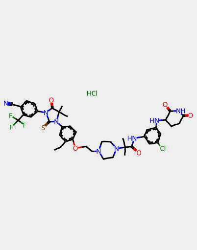 CCc1cc(N2C(=S)N(c3ccc(C#N)c(C(F)(F)F)c3)C(=O)C2(C)C)ccc1OCCN1CCN(C(C)(C)C(=O)Nc2cc(Cl)cc(NC3CCC(=O)NC3=O)c2)CC1.Cl